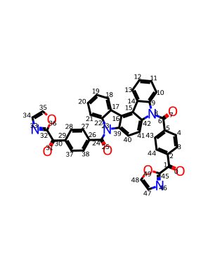 O=C(c1ccc(C(=O)n2c3ccccc3c3c4c5ccccc5n(C(=O)c5ccc(C(=O)c6ncco6)cc5)c4ccc32)cc1)c1ncco1